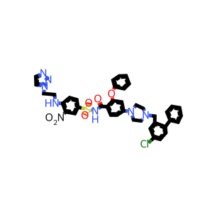 O=C(NS(=O)(=O)c1ccc(NCCn2ccnn2)c([N+](=O)[O-])c1)c1ccc(N2CCN(Cc3cc(Cl)ccc3-c3ccccc3)CC2)cc1Oc1ccccc1